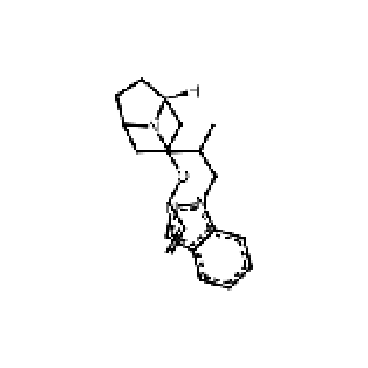 C=CCOC1CC2CC[C@H](C1)N2CC(C)Cn1ncc2ccccc21